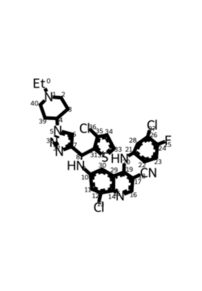 CCN1CCC(n2cc([C@@H](Nc3cc(Cl)c4ncc(C#N)c(Nc5ccc(F)c(Cl)c5)c4c3)c3sccc3Cl)nn2)CC1